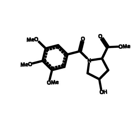 COC(=O)C1CC(O)CN1C(=O)c1cc(OC)c(OC)c(OC)c1